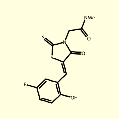 CNC(=O)CN1C(=O)/C(=C/c2cc(F)ccc2O)SC1=S